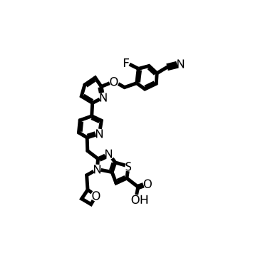 N#Cc1ccc(COc2cccc(-c3ccc(Cc4nc5sc(C(=O)O)cc5n4CC4CCO4)nc3)n2)c(F)c1